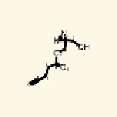 C#CCCC(=O)OCC1(CO)N=N1